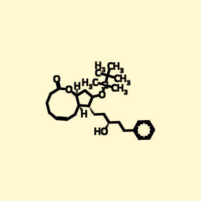 CC(C)(C)[Si](C)(C)OC1C[C@@H]2OC(=O)CCC/C=C\C[C@@H]2[C@H]1CC[C@@H](O)CCc1ccccc1